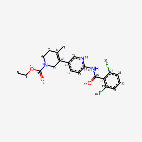 CCOC(=O)N1CCC(C)=C(c2ccc(NC(=O)c3c(F)cccc3F)nc2)C1